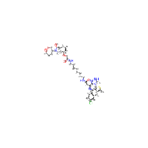 CC(=N)N1C(=N)[C@H](CC(=O)NCCCCCCCCNC(=O)COc2cccc3c2CN(C2CCCOOC2)C3=O)N=C(c2ccc(Cl)cc2)c2c1sc(C)c2C